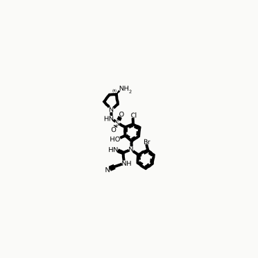 N#CNC(=N)N(c1ccccc1Br)c1ccc(Cl)c(S(=O)(=O)NN2CC[C@@H](N)C2)c1O